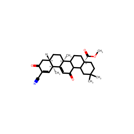 COC(=O)[C@@]12CCC3C(C(=O)C=C4[C@@]3(C)CC[C@H]3CC(=O)C(C#N)=C[C@]43C)C1CC(C)(C)CC2